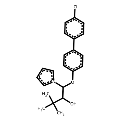 CC(C)(C)C(O)C(Oc1ccc(-c2ccc(Cl)cc2)cc1)n1cccc1